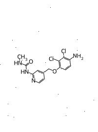 CNC(=O)Nc1cc(COc2ccc(N)c(Cl)c2Cl)ccn1